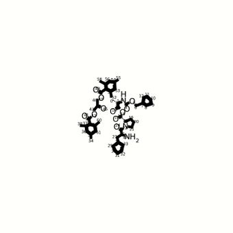 C[C@H](NC(=O)OCc1ccccc1)C(=O)OC(=O)[C@@H]1CCCN1C(=O)C(N)Cc1ccccc1.Cc1cc(C)c(C(=O)OCC(=O)COC(=O)c2c(C)cc(C)cc2C)c(C)c1